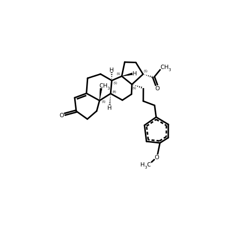 COc1ccc(CCC[C@]23CC[C@@H]4[C@@H](CCC5=CC(=O)CC[C@]54C)[C@@H]2CC[C@@H]3C(C)=O)cc1